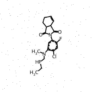 CCPCN(C)c1cc(N2C(=O)C3C=CCCC3C2=O)c(F)cc1Cl